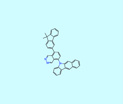 CC1(C)c2ccccc2-c2cc(-c3ccc(-n4c5ccccc5c5cc6ccccc6cc54)c4cnncc34)ccc21